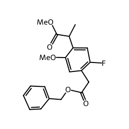 COC(=O)C(C)c1cc(F)c(CC(=O)OCc2ccccc2)cc1OC